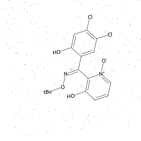 CC(C)(C)O/N=C(/c1cc(Cl)c(Cl)cc1O)c1c(O)ccc[n+]1[O-]